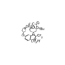 CC(C)(C)OC(=O)C(F)(F)F.CN1CC[C@H](Oc2ccc(C(=O)O)c(N(C(=O)C(F)(F)F)C3CCOCC3)c2)C1